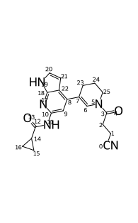 N#CCCC(=O)N1C=C(c2cc(NC(=O)C3CC3)nc3[nH]ccc23)CCC1